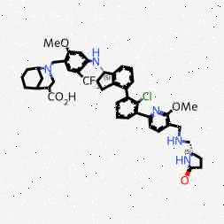 COc1cc(N[C@H]2CCc3c(-c4cccc(-c5ccc(CNC[C@@H]6CCC(=O)N6)c(OC)n5)c4Cl)cccc32)c(C(F)(F)F)cc1CN1CC(C(=O)O)C2CCCC1C2